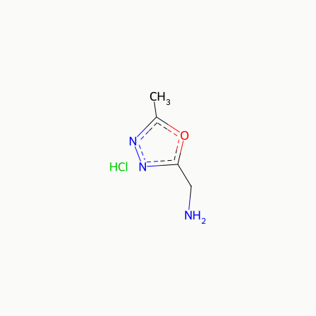 Cc1nnc(CN)o1.Cl